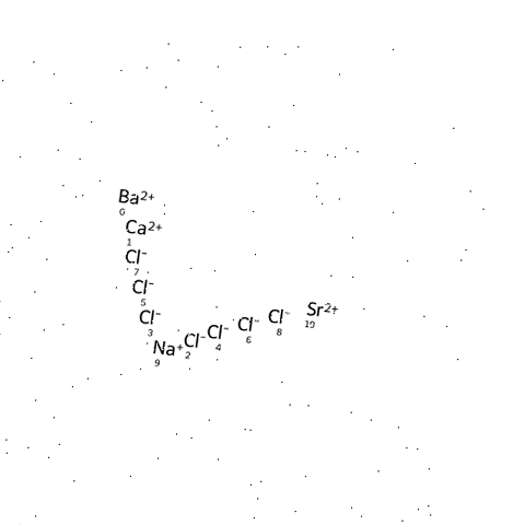 [Ba+2].[Ca+2].[Cl-].[Cl-].[Cl-].[Cl-].[Cl-].[Cl-].[Cl-].[Na+].[Sr+2]